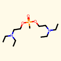 CCN(CC)CCOP(C)(=O)OCCN(CC)CC